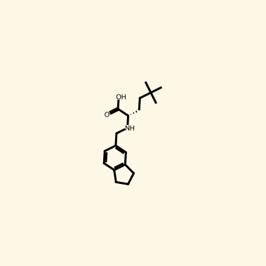 CC(C)(C)CC[C@H](NCc1ccc2c(c1)CCC2)C(=O)O